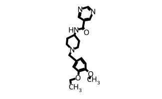 CCOc1cc(CN2CCC(NC(=O)c3cncnc3)CC2)ccc1OC